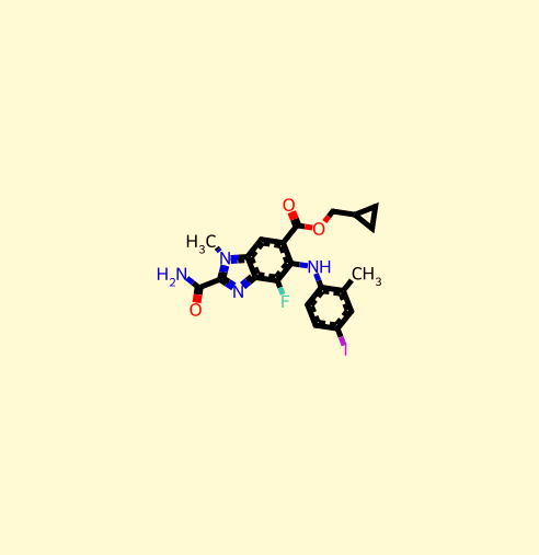 Cc1cc(I)ccc1Nc1c(C(=O)OCC2CC2)cc2c(nc(C(N)=O)n2C)c1F